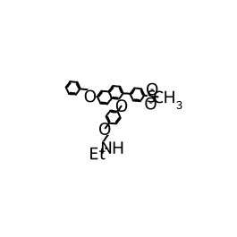 CCNCCOc1ccc(Oc2c(-c3ccc(S(C)(=O)=O)cc3)ccc3cc(OCc4ccccc4)ccc23)cc1